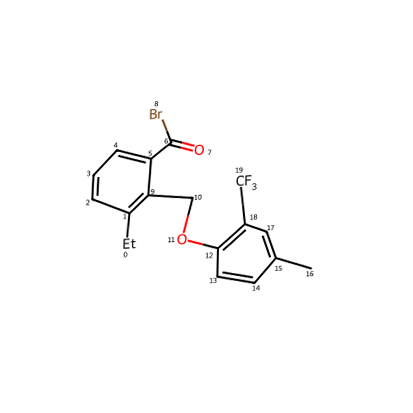 CCc1cccc(C(=O)Br)c1COc1ccc(C)cc1C(F)(F)F